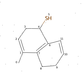 CC1=CCC(S)C2=C1CCC=C2